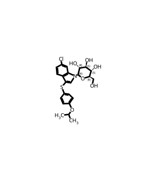 CC(C)Oc1ccc(Sc2cn([C@@H]3O[C@H](CO)[C@@H](O)[C@H](O)[C@H]3O)c3cc(Cl)ccc23)cc1